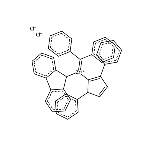 C1=CC(c2ccccc2)[C]([Zr+2](=[C](c2ccccc2)c2ccccc2)[CH]2c3ccccc3-c3ccccc32)=C1c1ccccc1.[Cl-].[Cl-]